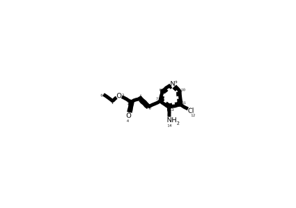 CCOC(=O)/C=C/c1cncc(Cl)c1N